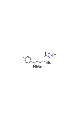 C=C(CC(CCC(NC)c1ccc(C)cc1)C(C)CC)NC(C)C